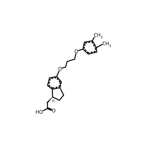 Cc1ccc(OCCCOc2ccc3c(c2)CC[C@H]3CC(=O)O)cc1C